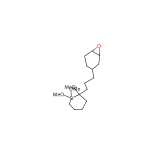 COC1(CCCC2CCC3OC3C2)CCCC[Si]1(OC)OC